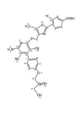 COc1ccc(-c2nc(CSc3nc(N)c(C#N)c(-c4ccc(OC[C@@H](O)CO)cc4)c3C#N)c(C)o2)c(F)c1